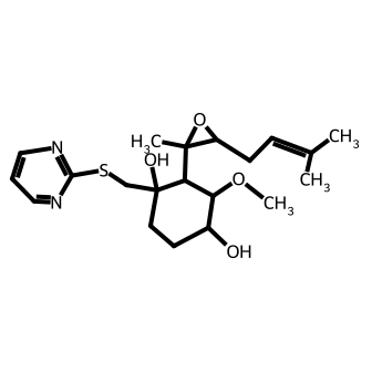 COC1C(O)CCC(O)(CSc2ncccn2)C1C1(C)OC1CC=C(C)C